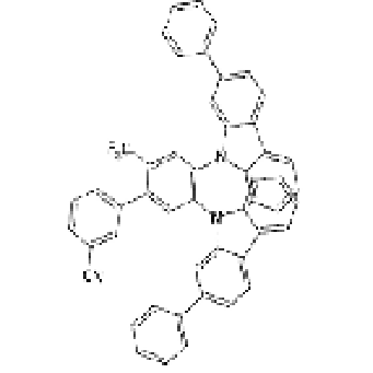 N#Cc1cccc(-c2cc(-n3c4ccccc4c4ccc(-c5ccccc5)cc43)c(-n3c4ccccc4c4ccc(-c5ccccc5)cc43)cc2C(F)(F)F)c1